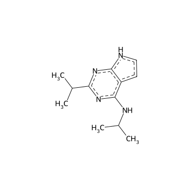 CC(C)Nc1nc(C(C)C)nc2[nH]ccc12